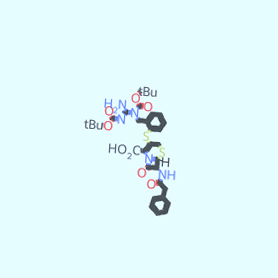 CC(C)(C)OC(=O)N=C(N)N(Cc1ccccc1SC1=C(C(=O)O)N2C(=O)[C@@H](NC(=O)Cc3ccccc3)[C@@H]2SC1)C(=O)OC(C)(C)C